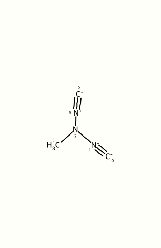 [C-]#[N+]N(C)[N+]#[C-]